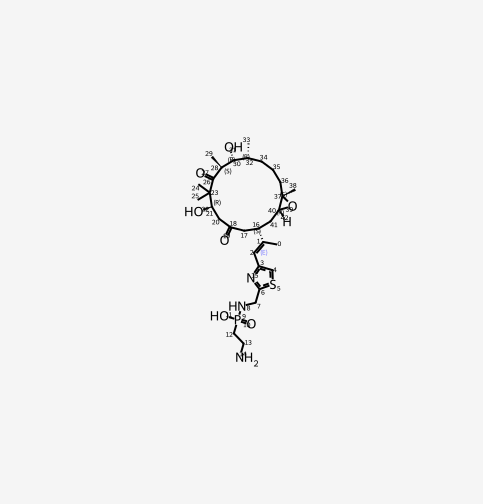 C/C(=C\c1csc(CNP(=O)(O)CCN)n1)[C@@H]1CC(=O)C[C@@H](O)C(C)(C)C(=O)[C@@H](C)[C@H](O)[C@H](C)CCC[C@]2(C)O[C@@H]2C1